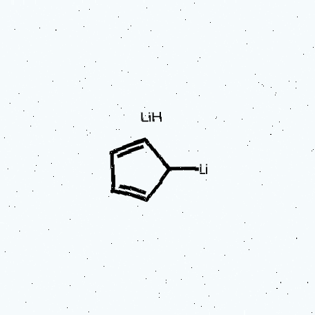 [LiH].[Li][CH]1C=CC=C1